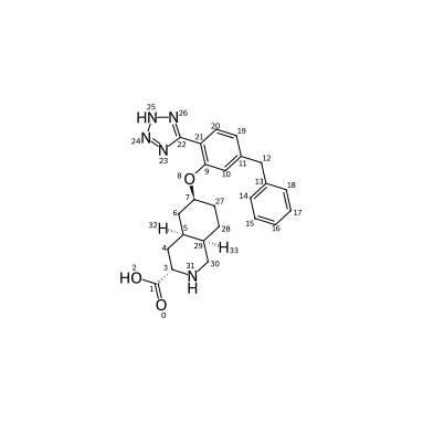 O=C(O)[C@@H]1C[C@H]2C[C@@H](Oc3cc(Cc4ccccc4)ccc3-c3nn[nH]n3)CC[C@H]2CN1